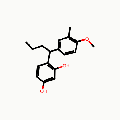 CCCC(c1ccc(OC)c(C)c1)c1ccc(O)cc1O